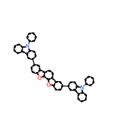 c1ccc(-n2c3ccccc3c3cc(-c4ccc5oc6c(ccc7c8cc(-c9ccc%10c(c9)c9ccccc9n%10-c9ccccc9)ccc8oc76)c5c4)ccc32)cc1